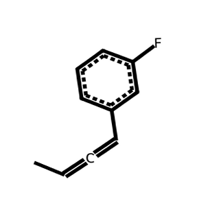 CC=C=Cc1cccc(F)c1